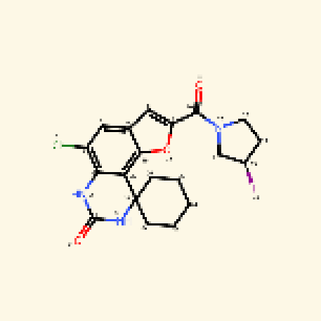 O=C1Nc2c(Cl)cc3cc(C(=O)N4CC[C@@H](I)C4)oc3c2C2(CCCCC2)N1